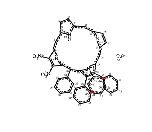 O=[N+]([O-])C1=C([N+](=O)[O-])c2nc1cc1ccc(cc3nc(cc4c(-c5ccccc5)c(-c5ccccc5)c(c2-c2ccccc2)n4-c2ccccc2)C=C3)[nH]1.[Cu+2]